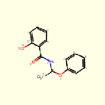 O=C(NC(Oc1ccccc1)C(Cl)(Cl)Cl)c1ccccc1O